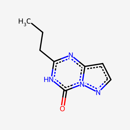 CCCc1nc2ccnn2c(=O)[nH]1